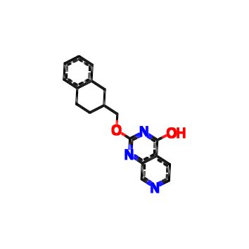 Oc1nc(OCC2CCc3ccccc3C2)nc2cnccc12